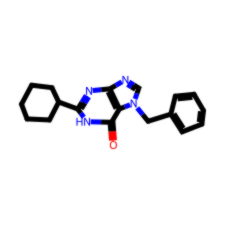 O=c1[nH]c(C2CCCCC2)nc2ncn(Cc3ccccc3)c12